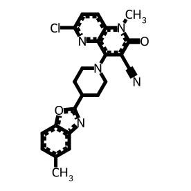 Cc1ccc2oc(C3CCN(c4c(C#N)c(=O)n(C)c5ccc(Cl)nc45)CC3)nc2c1